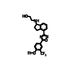 CCOc1ccc(-c2nc(-c3cccc4c3CCC4NCCO)no2)cc1C(F)(F)F